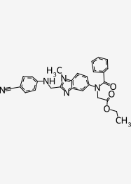 CCOC(=O)CN(C(=O)c1ccccc1)c1ccc2c(c1)nc(CNc1ccc(C#N)cc1)n2C